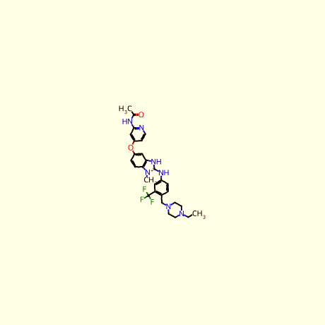 CCN1CCN(Cc2ccc(Nc3[nH]c4cc(Oc5ccnc(NC(C)=O)c5)ccc4[n+]3C)cc2C(F)(F)F)CC1